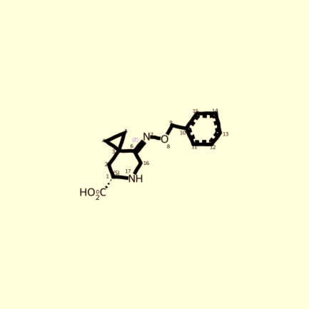 O=C(O)[C@@H]1CC2(CC2)/C(=N/OCc2ccccc2)CN1